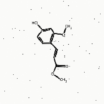 COC(=O)C=Cc1ccc(O)cc1OC